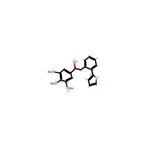 COc1cc(C(O)Cc2ccccc2-c2cccs2)cc(OC)c1OC